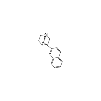 c1ccc2cc(C3=C4CCN(CC4)C3)ccc2c1